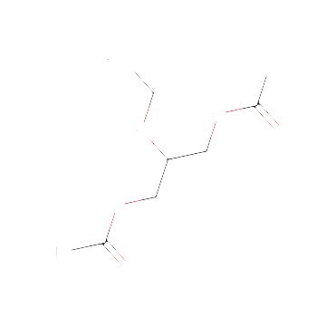 CCCC(=O)OCC(COC(=O)CCC)OCOC(C)=O